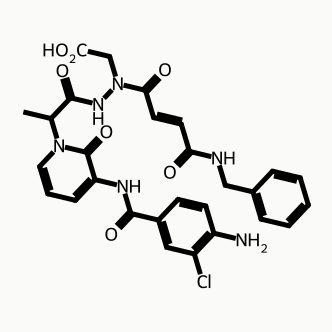 CC(C(=O)NN(CC(=O)O)C(=O)C=CC(=O)NCc1ccccc1)n1cccc(NC(=O)c2ccc(N)c(Cl)c2)c1=O